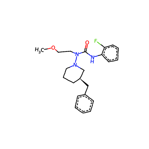 COCCN(C(=O)Nc1ccccc1F)N1CCC[C@H](Cc2ccccc2)C1